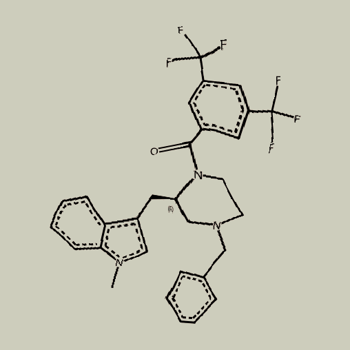 Cn1cc(C[C@@H]2CN(Cc3ccccc3)CCN2C(=O)c2cc(C(F)(F)F)cc(C(F)(F)F)c2)c2ccccc21